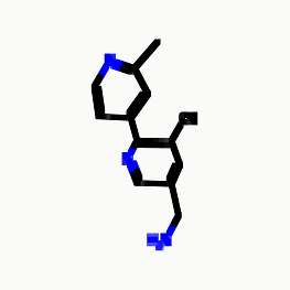 Cc1cc(-c2ncc(CN)cc2C#N)ccn1